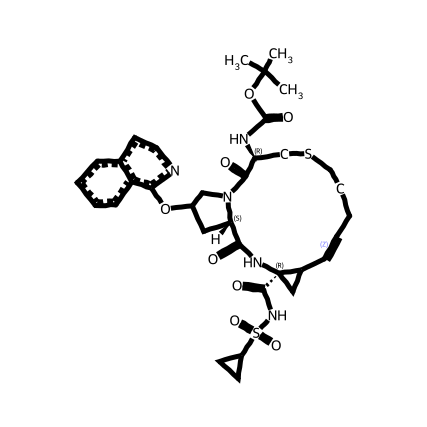 CC(C)(C)OC(=O)N[C@H]1CSCCC/C=C\C2C[C@@]2(C(=O)NS(=O)(=O)C2CC2)NC(=O)[C@@H]2CC(Oc3nccc4ccccc34)CN2C1=O